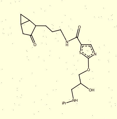 CC(C)NCC(O)COc1ncc(C(=O)NCCCC2C(=O)CC3CC32)s1